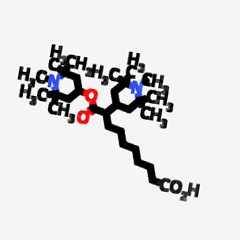 CN1C(C)(C)CC(OC(=O)C(CCCCCCCC(=O)O)C2CC(C)(C)N(C)C(C)(C)C2)CC1(C)C